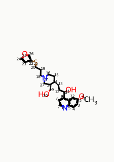 COc1ccc2nccc([C@@H](O)CC[C@@H]3CCN(CCCSc4ccoc4)C[C@@H]3CO)c2c1